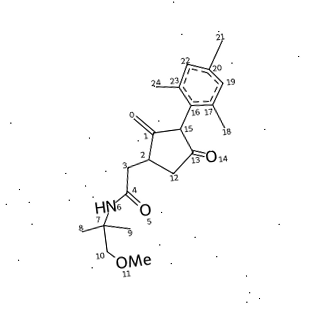 C=C1C(CC(=O)NC(C)(C)COC)CC(=O)C1c1c(C)cc(C)cc1C